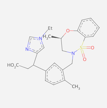 CCn1cnc(C(CC(=O)O)c2ccc(C)c(CN3C[C@@H](C)Oc4ccccc4S3(=O)=O)c2)c1